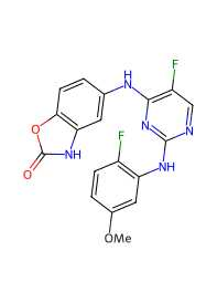 COc1ccc(F)c(Nc2ncc(F)c(Nc3ccc4oc(=O)[nH]c4c3)n2)c1